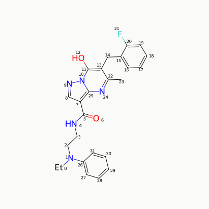 CCN(CCNC(=O)c1cnn2c(O)c(Cc3ccccc3F)c(C)nc12)c1ccccc1